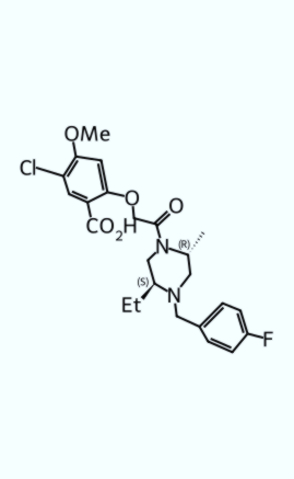 CC[C@H]1CN(C(=O)COc2cc(OC)c(Cl)cc2C(=O)O)[C@H](C)CN1Cc1ccc(F)cc1